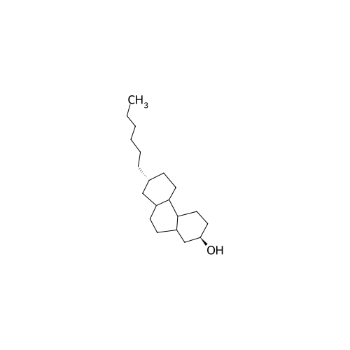 CCCCCC[C@@H]1CCC2C(CCC3C[C@H](O)CCC32)C1